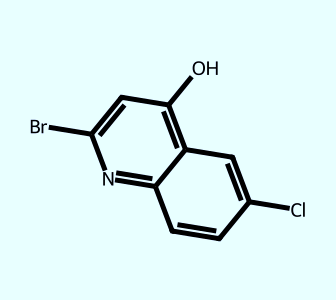 Oc1cc(Br)nc2ccc(Cl)cc12